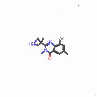 CC(=O)c1cc(C)cc2c(=O)n(C)c(C3(C)CNC3)nc12